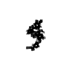 COc1cc(F)c(O[C@H]2CC[C@@H](C(=O)O)CC2)cc1C(=O)N[C@@H]1[C@H]2CC[C@H](C2)[C@@H]1C(=O)Nc1ccc(C#N)c(Br)c1